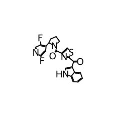 O=C(c1nc(C(=O)N2CCCC2c2cc(F)ncc2F)cs1)c1c[nH]c2ccccc12